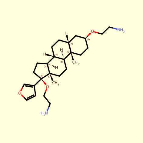 C[C@]12CC[C@H](OCCN)C[C@H]1CC[C@@H]1[C@@H]2CC[C@@]2(C)[C@H]1CC[C@@]2(OCCN)c1ccoc1